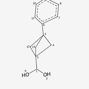 OC(O)C12CC(c3ccccc3)(C1)C2